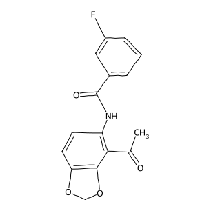 CC(=O)c1c(NC(=O)c2cccc(F)c2)ccc2c1OCO2